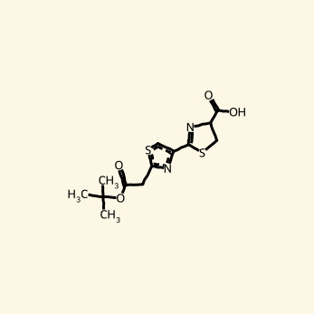 CC(C)(C)OC(=O)Cc1nc(C2=NC(C(=O)O)CS2)cs1